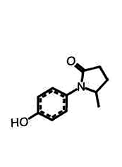 CC1CCC(=O)N1c1ccc(O)cc1